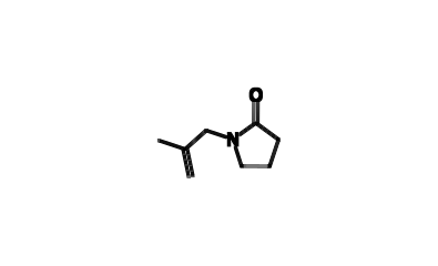 C=C(C)CN1CCCC1=O